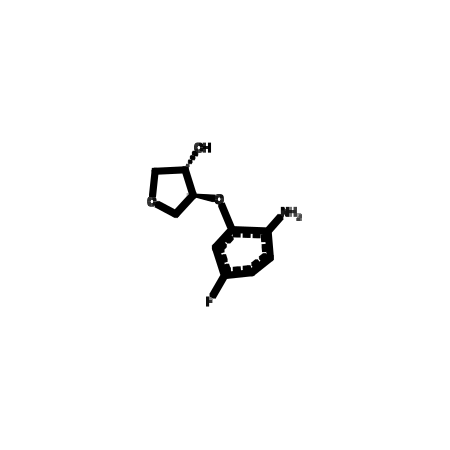 Nc1ccc(F)cc1O[C@H]1COC[C@@H]1O